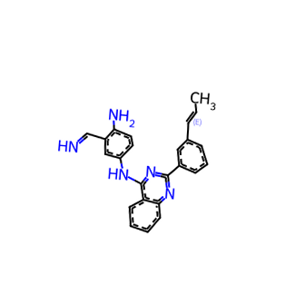 C/C=C/c1cccc(-c2nc(Nc3ccc(N)c(C=N)c3)c3ccccc3n2)c1